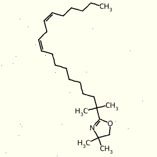 CCCCC/C=C\C/C=C\CCCCCCCC(C)(C)C1=NC(C)(C)CO1